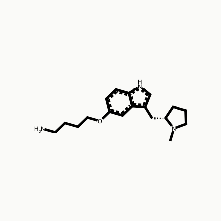 CN1CCC[C@H]1Cc1c[nH]c2ccc(OCCCCN)cc12